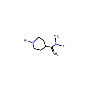 C=C(C1CCN(C(C)C)CC1)N(C)C